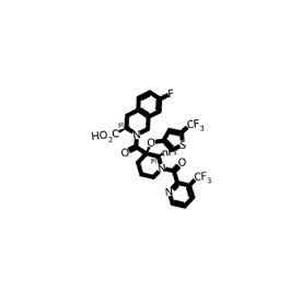 CCC[C@H]1N(C(=O)c2ncccc2C(F)(F)F)CCC[C@]1(Oc1csc(C(F)(F)F)c1)C(=O)N1Cc2cc(F)ccc2C[C@@H]1C(=O)O